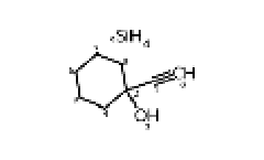 C#CC1(O)CCCCC1.[SiH4]